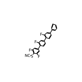 N#CSc1c(F)cc(-c2ccc(-c3ccc(-c4ccccc4)cc3F)cc2F)cc1F